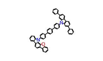 c1ccc(-c2ccc3c4ccc(-c5ccccc5)cc4n(-c4ccc(-c5ccc(-c6ccc(-n7c8ccccc8c8ccc9c%10ccccc%10oc9c87)cc6)cc5)cc4)c3c2)cc1